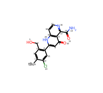 CC(C)(C)c1cc(CO)c(-c2cc(=O)c3c(C(N)=O)nccc3[nH]2)cc1Cl